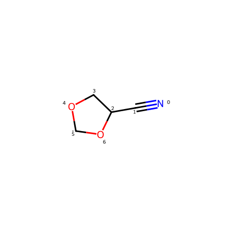 N#CC1CO[CH]O1